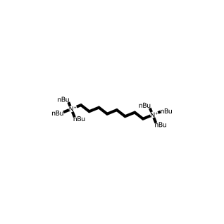 CCCC[N+](CCCC)(CCCC)CCCCCCCC[N+](CCCC)(CCCC)CCCC